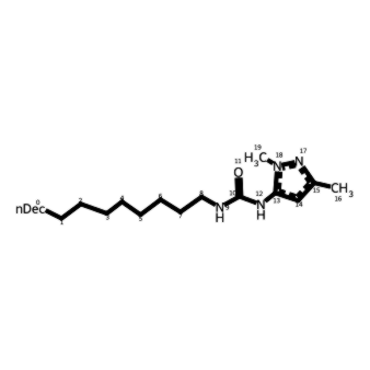 CCCCCCCCCCCCCCCCCCNC(=O)Nc1cc(C)nn1C